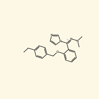 CCc1ccc(COc2ccccc2/C(=N\N(C)C)n2ccnc2)cc1